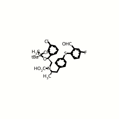 C[C@H](Cc1ccc(Sc2ccc(F)cc2C=O)cc1)N(C[C@@H](O[Si](C)(C)C(C)(C)C)c1cccc(Cl)c1)C(=O)O